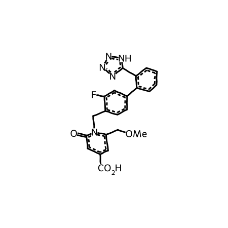 COCc1cc(C(=O)O)cc(=O)n1Cc1ccc(-c2ccccc2-c2nnn[nH]2)cc1F